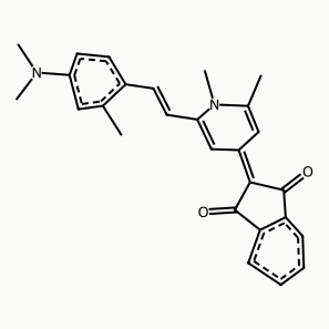 CC1=CC(=C2C(=O)c3ccccc3C2=O)C=C(C=Cc2ccc(N(C)C)cc2C)N1C